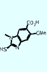 COc1cc2nc(S)n(C)c2cc1C(=O)O